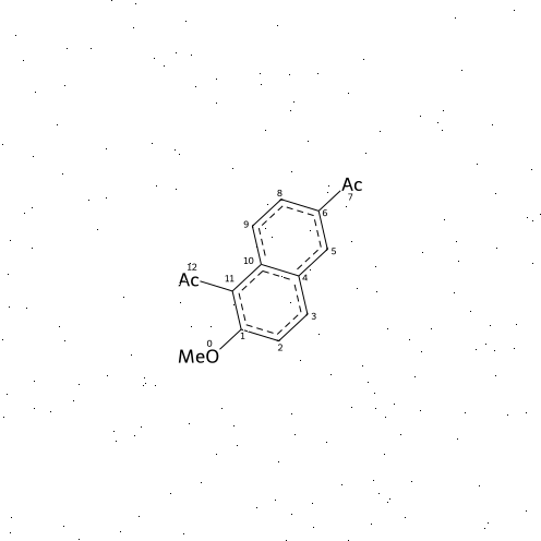 COc1ccc2cc(C(C)=O)ccc2c1C(C)=O